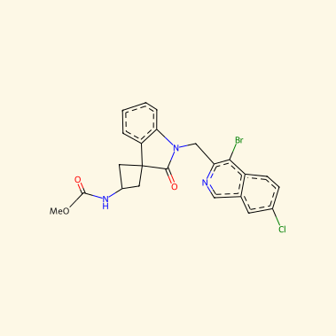 COC(=O)NC1CC2(C1)C(=O)N(Cc1ncc3cc(Cl)ccc3c1Br)c1ccccc12